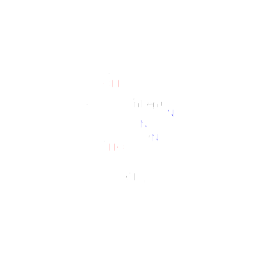 CC(O)Cn1cncn1.CCCCCc1ccccc1O